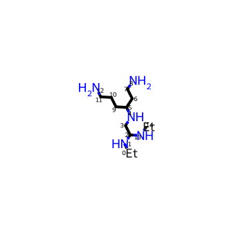 CCNC(CNC(CCN)CCCN)NCC